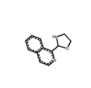 c1ccc2c([C]3NCCO3)nccc2c1